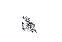 C=C(C)C(=C\CCC)/C(C)=C(\C(=C)C)C(=C)N(C)C1CCC(C)CC1